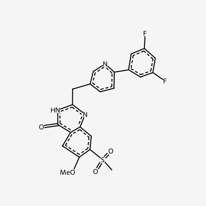 COc1cc2c(=O)[nH]c(Cc3ccc(-c4cc(F)cc(F)c4)nc3)nc2cc1S(C)(=O)=O